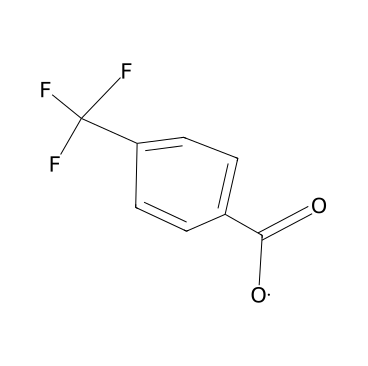 [O]C(=O)c1ccc(C(F)(F)F)cc1